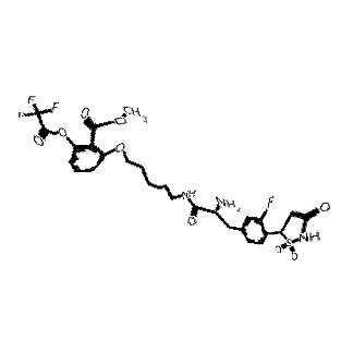 COC(=O)c1c(OCCCCCNC(=O)[C@@H](N)Cc2ccc(C3CC(=O)NS3(=O)=O)c(F)c2)cccc1OC(=O)C(F)(F)F